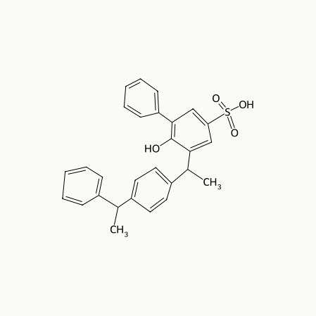 CC(c1ccccc1)c1ccc(C(C)c2cc(S(=O)(=O)O)cc(-c3ccccc3)c2O)cc1